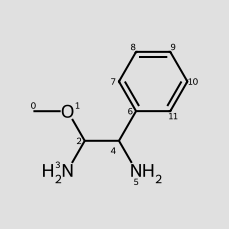 COC(N)C(N)c1ccccc1